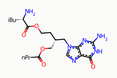 CCCC(=O)OC[C@H](CCOC(=O)[C@@H](N)C(C)CC)Cn1cnc2c(=O)[nH]c(N)nc21